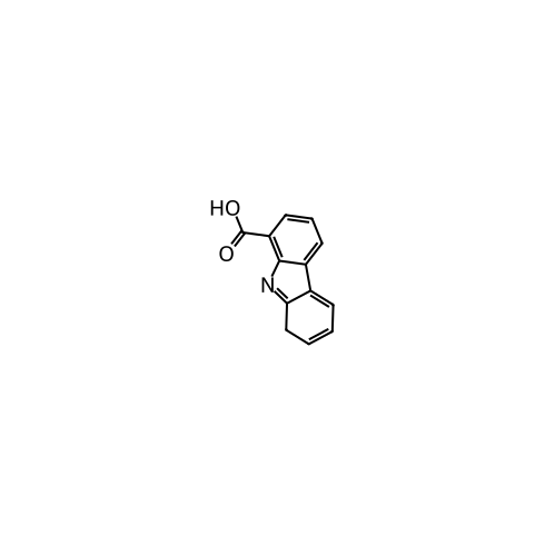 O=C(O)c1cccc2c1N=C1CC=CC=C12